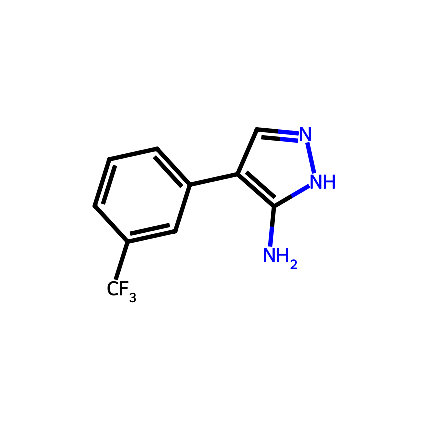 Nc1[nH]ncc1-c1cccc(C(F)(F)F)c1